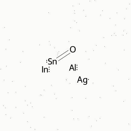 [Ag].[Al].[In].[O]=[Sn]